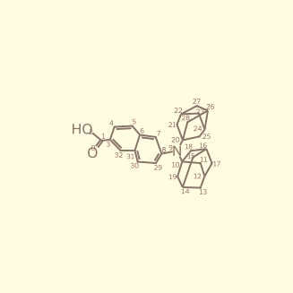 O=C(O)c1ccc2cc(N(C34CC5CC(CC(C5)C3)C4)C34CC5CC(C3)C(C5)C4)ccc2c1